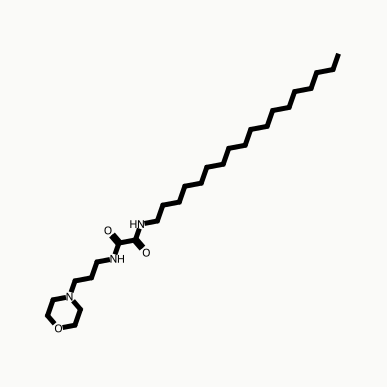 CCCCCCCCCCCCCCCCCCNC(=O)C(=O)NCCCN1CCOCC1